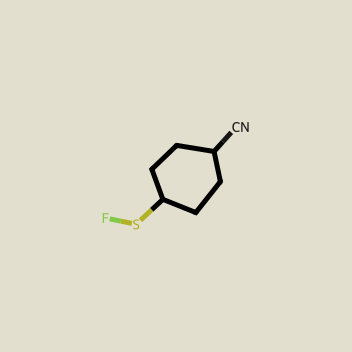 N#CC1CCC(SF)CC1